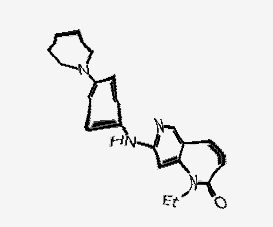 CCn1c(=O)ccc2cnc(Nc3ccc(N4CCCCC4)cc3)cc21